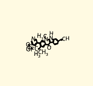 C#Cc1ccc2c(c1)[nH]c1c2c(=O)c2cc(C(C)C)c(-c3cncc(S(=O)(=O)F)c3)cc2n1C